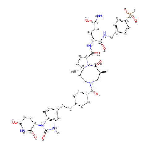 C[C@H]1CN(C(=O)[C@H]2CC[C@@H](CCc3ccc4c(c3)n(C)c(=O)n4C3CCC(=O)NC3=O)CC2)CC[C@H]2CC[C@@H](C(=O)N[C@@H](CCC(N)=O)C(=O)NCc3ccc(S(C)(=O)=O)cc3)N2C1=O